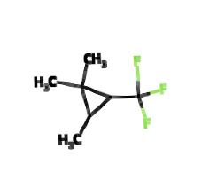 CC1C(C(F)(F)F)C1(C)C